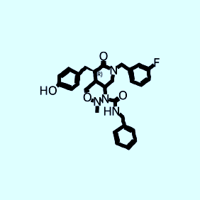 CN(C)N(C(=O)NCc1ccccc1)C1CN(Cc2cccc(F)c2)C(=O)[C@H](Cc2ccc(O)cc2)C1C=O